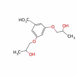 CC(O)COc1cc(OCC(C)O)cc(C(=O)O)c1